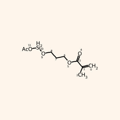 C=C(C)C(=O)OCCCO[SiH2]OC(C)=O